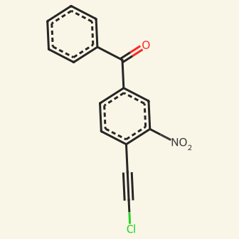 O=C(c1ccccc1)c1ccc(C#CCl)c([N+](=O)[O-])c1